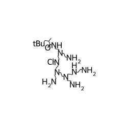 CC(CC(C)(C)C)C(=O)NCCN(CCN)CCN(Cl)CCN(CCN)CCN(CCN)CCNCCN